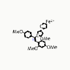 COc1ccc(/C(=C/c2c(OC)cc(OC)cc2OC)[c-]2cccc2)cc1.[Fe+2].c1cc[cH-]c1